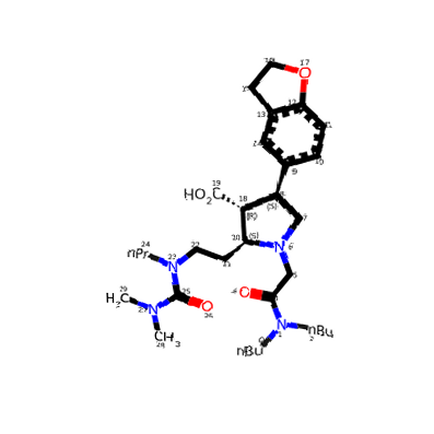 CCCCN(CCCC)C(=O)CN1C[C@H](c2ccc3c(c2)CCO3)[C@@H](C(=O)O)[C@@H]1CCN(CCC)C(=O)N(C)C